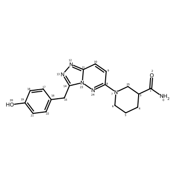 NC(=O)C1CCCN(c2ccc3nnc(Cc4ccc(O)cc4)n3n2)C1